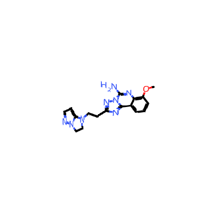 COc1cccc2c1nc(N)n1nc(CCN3CCn4nccc43)nc21